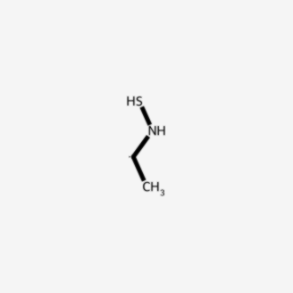 C[CH]NS